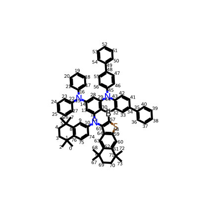 CC1(C)CCC(C)(C)c2cc(N3c4cc(N(c5ccccc5)c5ccccc5)cc5c4B(c4cc(-c6ccccc6)ccc4N5c4ccc(-c5ccccc5)cc4)c4sc5cc6c(cc5c43)C(C)(C)CCC6(C)C)ccc21